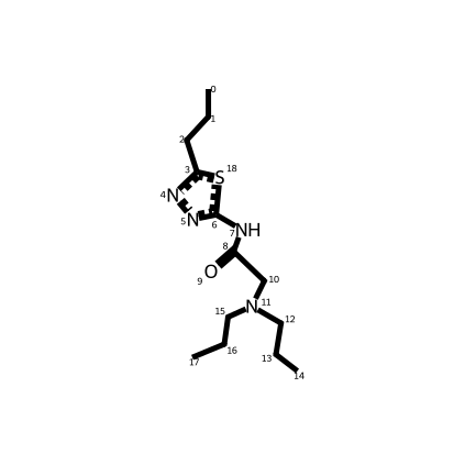 CCCc1nnc(NC(=O)CN(CCC)CCC)s1